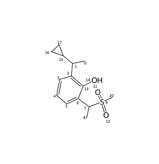 CC(c1cccc(C(C)S(C)(=O)=O)c1O)C1CC1